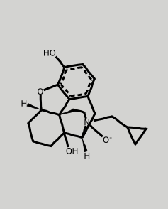 [O-][N+]1(CC2CC2)CC[C@]23c4c5ccc(O)c4O[C@H]2CCCC3(O)[C@H]1C5